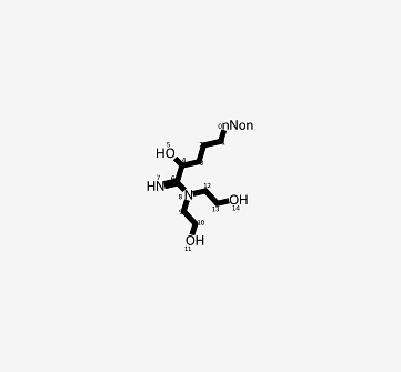 CCCCCCCCCCCCC(O)C(=N)N(CCO)CCO